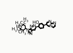 CC1(C)CC(n2nnc3cc(-c4ccc(-c5cnc6nccn6c5)cc4O)nnc32)CC(C)(C)N1